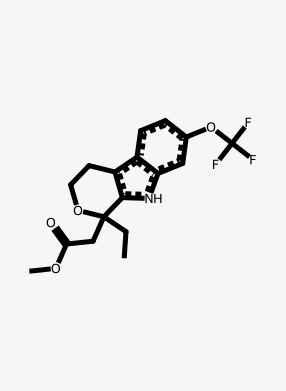 CCC1(CC(=O)OC)OCCc2c1[nH]c1cc(OC(F)(F)F)ccc21